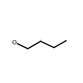 CC[CH]C[O]